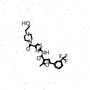 Cc1oc(-c2cccc(C(F)(F)F)c2)cc1C(=O)Nc1nc(C(=O)N2CCN(CCO)CC2)cs1